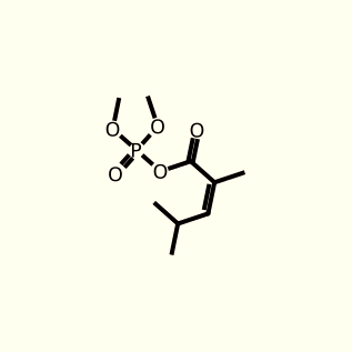 COP(=O)(OC)OC(=O)/C(C)=C\C(C)C